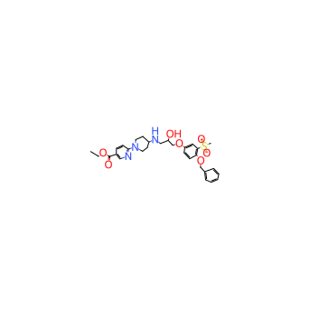 CCOC(=O)c1ccc(N2CCC(NCC(O)COc3ccc(OCc4ccccc4)c(S(C)(=O)=O)c3)CC2)nc1